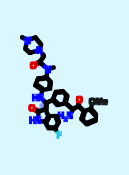 COc1ccccc1C(=O)C(N)c1cccc(/C(Nc2ccc(N(C)C(=O)CN3CCN(C)CC3)cc2)=C2/C(=O)Nc3cc(F)ccc32)c1